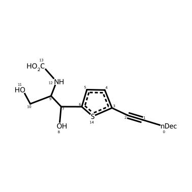 CCCCCCCCCCC#Cc1ccc(C(O)C(CO)NC(=O)O)s1